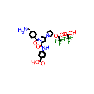 NC[C@H]1CC[C@H](C(=O)N2C[C@@H](N3CCCC3)C[C@H]2C(=O)Nc2ccc(C(=O)O)cc2)CC1.O=C(O)C(F)(F)F.O=C(O)C(F)(F)F